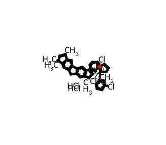 Cl.Cl.[CH2]=[Zr]([C]1=CC=CC1)([C]1=C(C)c2cc3c(cc2C1(C)C)Cc1cc2c(cc1-3)C(C)=CC2(C)C)([c]1cccc(Cl)c1)[c]1cccc(Cl)c1